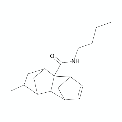 CCCCNC(=O)C12C3C=CC(C3)C1C1CC2CC1C